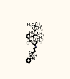 C=C/C(=C/CCC(=O)NS(=O)(=O)c1ccccc1)CNC(=O)[C@@H]1CCCN1C(=O)[C@@H](NC(=O)OC(C)(C)C)C(C)C